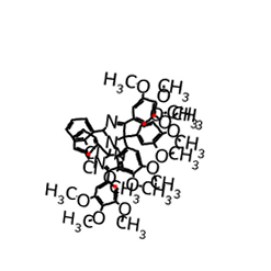 COc1cc(C2=NC(c3ccccc3Cl)(N3C(c4ccccc4Cl)N=C(c4cc(OC)c(OC)c(OC)c4)C3(c3cc(OC)c(OC)c(OC)c3)c3cc(OC)c(OC)c(OC)c3)N=C2)cc(OC)c1OC